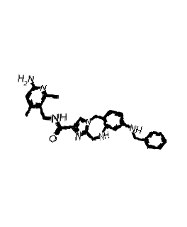 Cc1cc(N)nc(C)c1CNC(=O)c1cn2c(n1)CNc1cc(NCc3ccccc3)ccc1C2